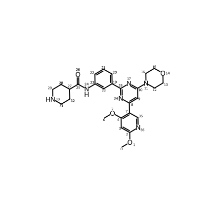 COc1cc(OC)c(-c2cc(N3CCOCC3)nc(-c3cccc(NC(=O)C4CCNCC4)c3)n2)cn1